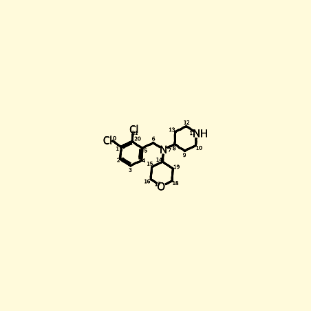 Clc1cccc(CN(C2CCNCC2)C2CCOCC2)c1Cl